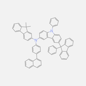 CC1(C)c2ccccc2-c2ccc(N(c3ccc(-c4cccc5ccccc45)cc3)c3ccc4c(c3)c3cc(C5(c6ccccc6)c6ccccc6-c6ccccc65)ccc3n4-c3ccccc3)cc21